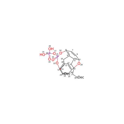 CCCCCCCCCCCCCc1c2ccc(c1CCCCCCCCCCCCC)OP(=O)(OP(=O)(O)O)Oc1ccc(cc1)O2